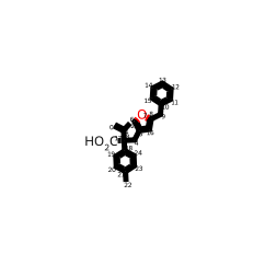 C=C(C)C(Cc1coc(Cc2ccccc2)c1)(C(=O)O)c1ccc(C)cc1